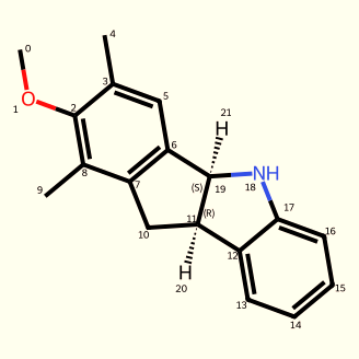 COc1c(C)cc2c(c1C)C[C@@H]1c3ccccc3N[C@H]21